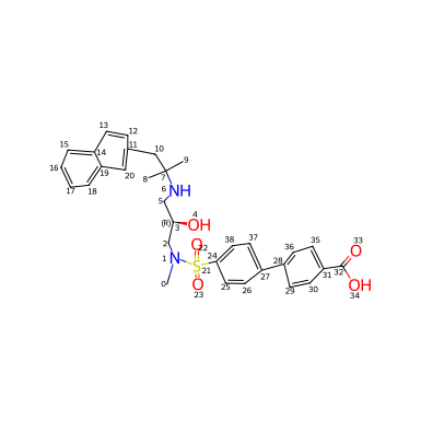 CN(C[C@H](O)CNC(C)(C)Cc1ccc2ccccc2c1)S(=O)(=O)c1ccc(-c2ccc(C(=O)O)cc2)cc1